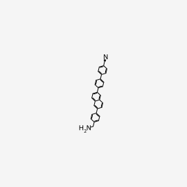 N#Cc1ccc(-c2ccc(-c3ccc4cc(-c5ccc(CN)cc5)ccc4c3)cc2)cc1